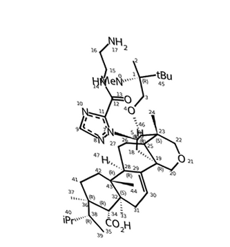 CN[C@@](C)(CO[C@H]1[C@H](n2ncnc2C(=O)NCCN)C[C@@]23COC[C@]1(C)[C@@H]2CC[C@H]1C3=CC[C@@]2(C)[C@H](C(=O)O)[C@@](C)([C@H](C)C(C)C)CC[C@]12C)C(C)(C)C